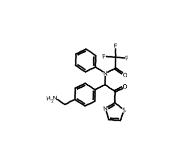 NCc1ccc(C(C(=O)c2nccs2)N(C(=O)C(F)(F)F)c2ccccc2)cc1